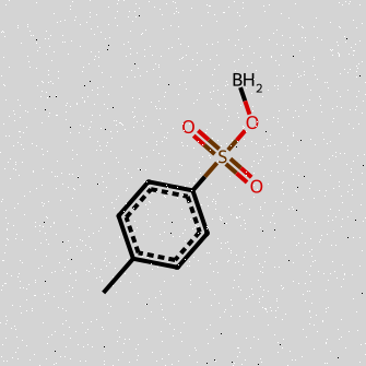 BOS(=O)(=O)c1ccc(C)cc1